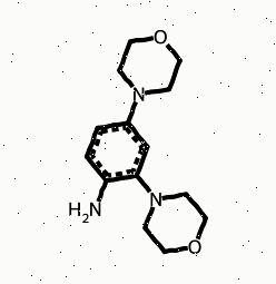 Nc1ccc(N2CCOCC2)cc1N1CCOCC1